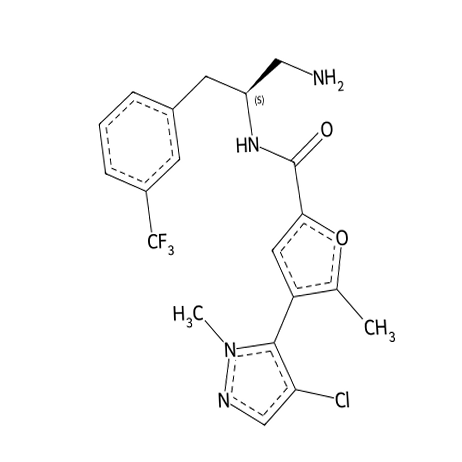 Cc1oc(C(=O)N[C@H](CN)Cc2cccc(C(F)(F)F)c2)cc1-c1c(Cl)cnn1C